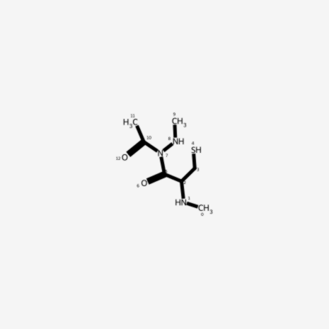 CNC(CS)C(=O)N(NC)C(C)=O